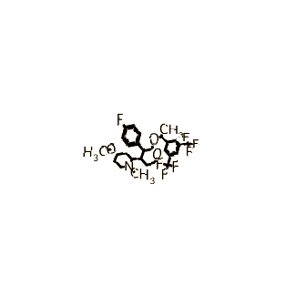 COC1CCN(C)C(C2CCOC(OC(C)c3cc(C(F)(F)F)cc(C(F)(F)F)c3)C2c2ccc(F)cc2)C1